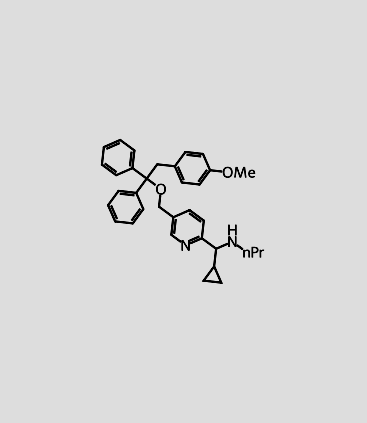 CCCNC(c1ccc(COC(Cc2ccc(OC)cc2)(c2ccccc2)c2ccccc2)cn1)C1CC1